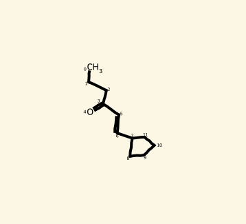 CCCC(=O)/C=C/C1CCCC1